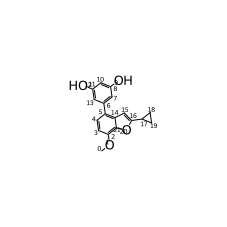 COc1ccc(-c2cc(O)cc(O)c2)c2cc(C3CC3)oc12